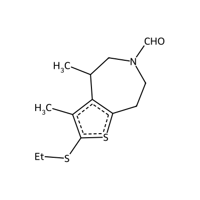 CCSc1sc2c(c1C)C(C)CN(C=O)CC2